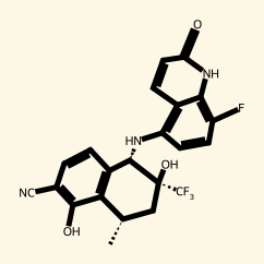 C[C@H]1C[C@@](O)(C(F)(F)F)[C@@H](Nc2ccc(F)c3[nH]c(=O)ccc23)c2ccc(C#N)c(O)c21